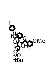 COc1cccc([C@@H](Oc2ccc3c(cnn3-c3ccc(F)cc3)c2)[C@H](C)NC(=O)C2CCN(OC(=O)OC(C)(C)C)C2)c1